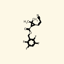 CC1(C)[C@H](C(=O)OCc2c(F)c(F)cc(F)c2F)[C@@H]1/C=C\C#N